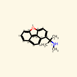 CNC(C)(C)c1ccc2oc3cccc4ccc1c2c43